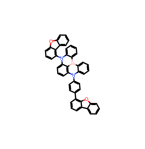 c1ccc2c(c1)B1c3ccccc3N(c3cccc4oc5ccccc5c34)c3cccc(c31)N2c1ccc(-c2cccc3c2oc2ccccc23)cc1